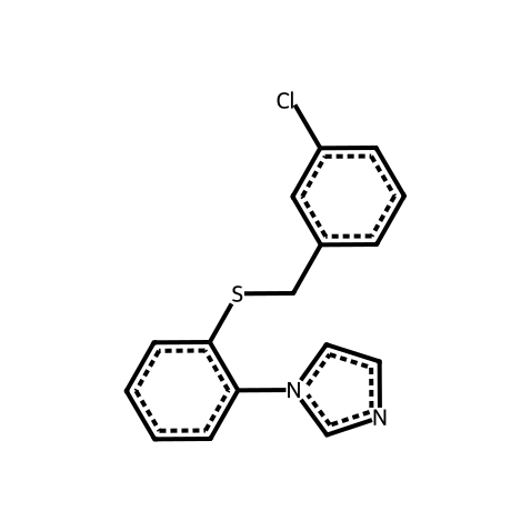 Clc1cccc(CSc2ccccc2-n2ccnc2)c1